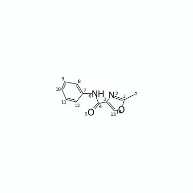 Cc1nc(C(=O)Nc2ccccc2)co1